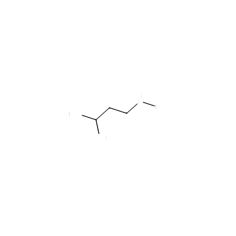 CC(C)CCBP